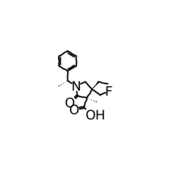 CC[C@]1(CF)CN([C@H](C)c2ccccc2)C(=O)[C@]1(C)C(=O)O